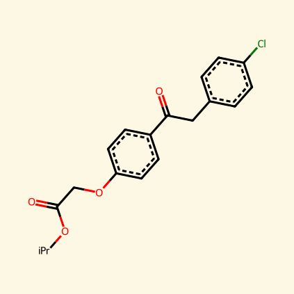 CC(C)OC(=O)COc1ccc(C(=O)Cc2ccc(Cl)cc2)cc1